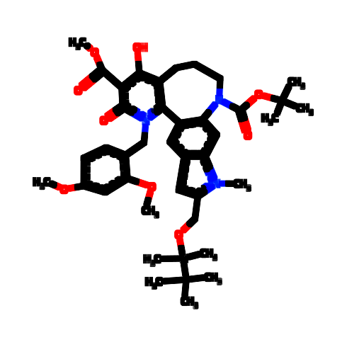 COC(=O)c1c(O)c2c(n(Cc3ccc(OC)cc3OC)c1=O)-c1cc3cc(CO[Si](C)(C)C(C)(C)C)n(C)c3cc1N(C(=O)OC(C)(C)C)CCC2